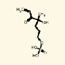 C=CC(=O)C(C)(O)CCCOP(=O)(O)O